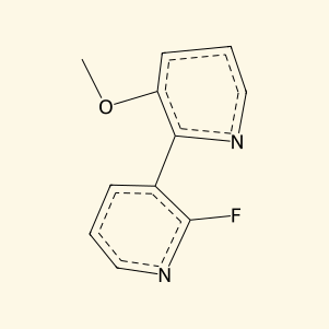 COc1cccnc1-c1cccnc1F